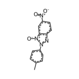 Cc1ccc(-n2nc3ccc([N+](=O)[O-])cc3[n+]2[O-])cc1